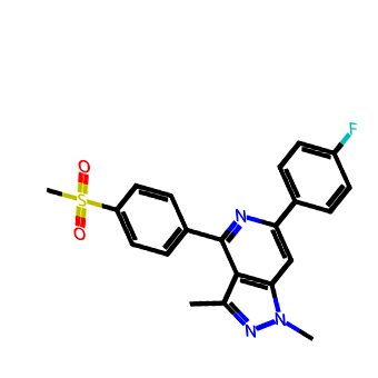 Cc1nn(C)c2cc(-c3ccc(F)cc3)nc(-c3ccc(S(C)(=O)=O)cc3)c12